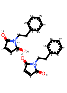 O=C1C=CC(=O)N1CCc1ccccc1.O=C1C=CC(=O)N1CCc1ccccc1